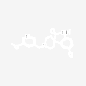 COc1cncc(CN2CCC3(CC2)C(=O)Nc2ccc(Cl)cc23)c1